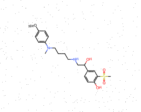 COc1ccc(N(C)CCCCNCC(O)c2ccc(O)c(S(C)(=O)=O)c2)cc1